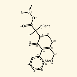 CCCCCC(C)(C(=O)O[SiH](C)C)N1COC(COC)=C(c2ccccc2)C1=O